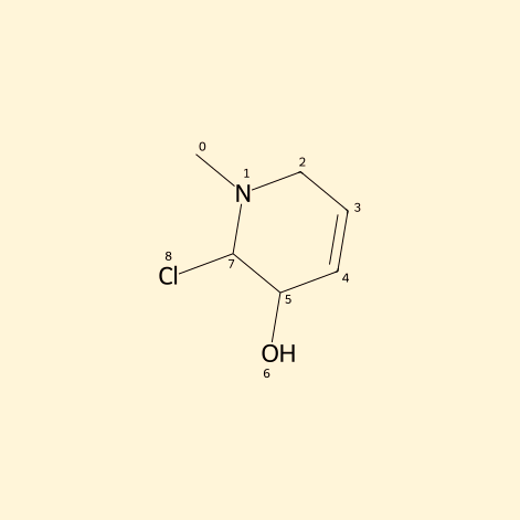 CN1CC=CC(O)C1Cl